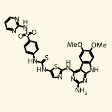 COc1cc2[nH]c3nc(N)nc(Nc4ncc(NC(=S)Nc5ccc(S(=O)(=O)Nc6ncccn6)cc5)s4)c3c2cc1OC